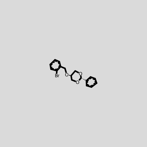 Brc1ccccc1CO[C@H]1CO[C@@H](c2ccccc2)OC1